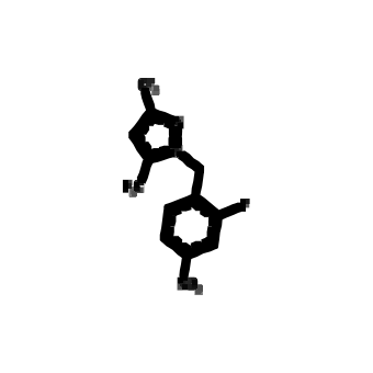 O=[N+]([O-])c1ccc(Cn2nc(C(F)(F)F)cc2C(F)(F)F)c(F)c1